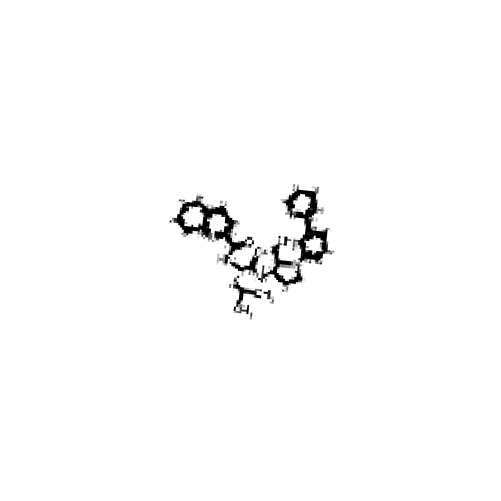 CCC1[C@H](NC(=O)[C@H](CC(C)C)NC(=O)c2ccc3ccccc3n2)CCN1c1cccc(-c2ccccn2)c1